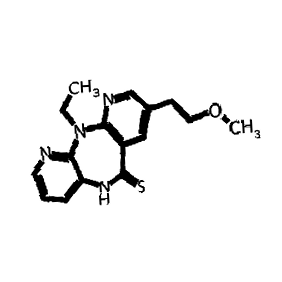 CCN1c2ncccc2NC(=S)c2cc(CCOC)cnc21